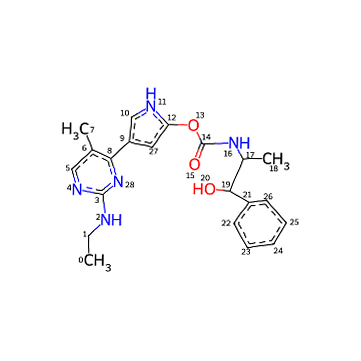 CCNc1ncc(C)c(-c2c[nH]c(OC(=O)NC(C)C(O)c3ccccc3)c2)n1